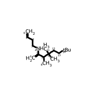 C=CCCNC(=C)C(C)C(C)(C)CCC(C)(C)C